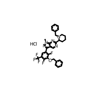 Cl.Cn1nc(-c2cc(C(F)(F)F)c(F)c(OCc3ccccc3)c2F)c2cnc(C3CCCCN3Cc3ccccc3)nc21